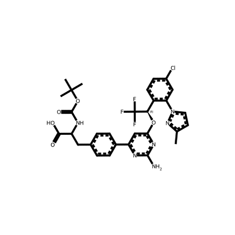 Cc1ccn(-c2cc(Cl)ccc2[C@@H](Oc2cc(-c3ccc(CC(NC(=O)OC(C)(C)C)C(=O)O)cc3)nc(N)n2)C(F)(F)F)n1